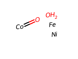 O.[Fe].[Ni].[O]=[Co]